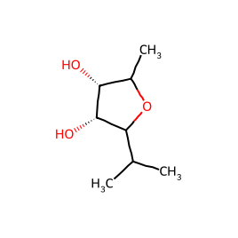 CC(C)C1OC(C)[C@@H](O)[C@H]1O